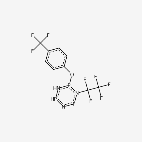 FC(F)(F)c1ccc(Op2[nH][pH]npn2C(F)(F)C(F)(F)F)cc1